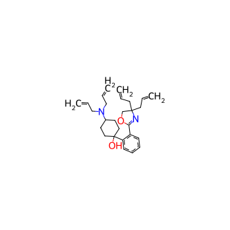 C=CCN(CC=C)C1CCC(O)(c2ccccc2C2=NC(CC=C)(CC=C)CO2)CC1